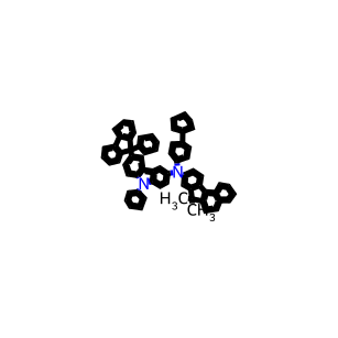 CC1(C)c2cc(N(c3ccc(-c4ccccc4)cc3)c3ccc4c(c3)c3cc(C5(c6ccccc6)c6ccccc6-c6ccccc65)ccc3n4-c3ccccc3)ccc2-c2c1ccc1ccccc21